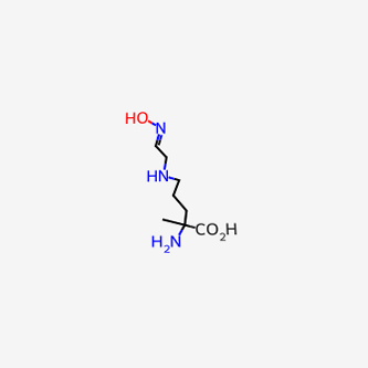 CC(N)(CCCNCC=NO)C(=O)O